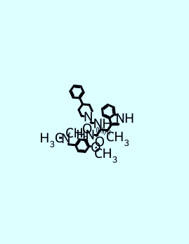 COc1ccc(CN(C)C)cc1NC(=O)[C@H](NC(=O)N1CCC(c2ccccc2)CC1)[C@H](C)c1c[nH]c2ccccc12